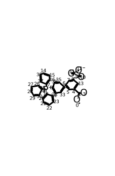 COC(=O)c1cccc(S(=O)(=O)[O-])c1.c1ccc([P+](c2ccccc2)(c2ccccc2)c2ccccc2)cc1